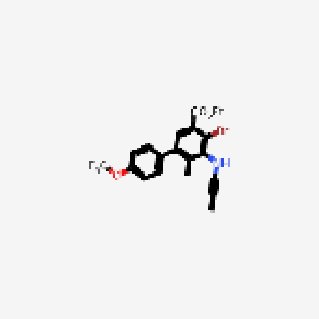 CC#CNc1c(C)c(-c2ccc(OC(F)(F)F)cc2)cc(C(=O)OCC)c1Br